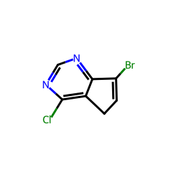 Clc1ncnc2c1CC=C2Br